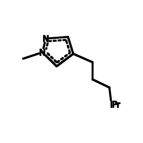 CC(C)CCCc1cnn(C)c1